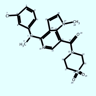 CN(c1cccc(Cl)c1)c1ncc(C(=O)N2CCS(=O)(=O)CC2)c2c1ccn2C